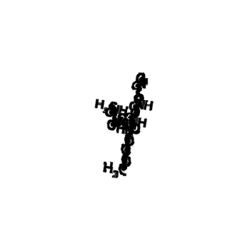 CCCOCCOCCOCCNC(=O)[C@@H](CSC1CC(=O)N(CCC(=O)NC)C1=O)NC(=O)COCC(=O)Nc1ccc(CCC(=O)N2CCC2=O)cc1